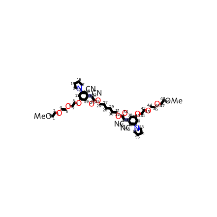 COCCOCCOCCOC1CC(N2CCCC2)=C(C#N)/C(=C(\C#N)C(=O)OCCCCCCOC(=O)/C(C#N)=C2\CC(OCCOCCOCCOC)CC(N3CCCC3)=C2C#N)C1